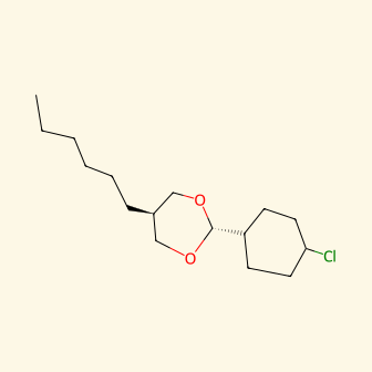 CCCCCC[C@H]1CO[C@H](C2CCC(Cl)CC2)OC1